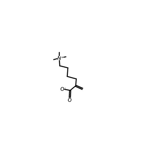 C=C(CCCC[N+](C)(C)C)C(=O)[O-]